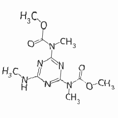 CNc1nc(N(C)C(=O)OC)nc(N(C)C(=O)OC)n1